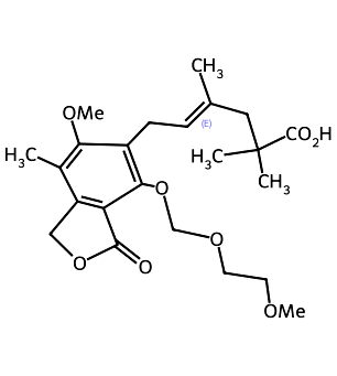 COCCOCOc1c(C/C=C(\C)CC(C)(C)C(=O)O)c(OC)c(C)c2c1C(=O)OC2